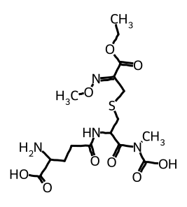 CCOC(=O)C(CSCC(NC(=O)CCC(N)C(=O)O)C(=O)N(C)C(=O)O)=NOC